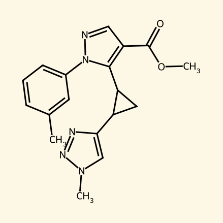 COC(=O)c1cnn(-c2cccc(C)c2)c1C1CC1c1cn(C)nn1